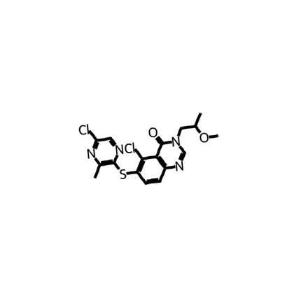 COC(C)Cn1cnc2ccc(Sc3ncc(Cl)nc3C)c(Cl)c2c1=O